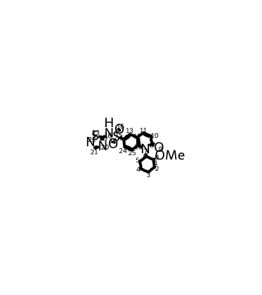 CO[C@H]1CCCCC1n1c(=O)ccc2cc(S(=O)(=O)Nc3ncns3)ccc21